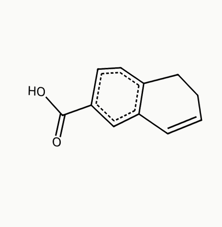 O=C(O)c1ccc2c(c1)C=CCC2